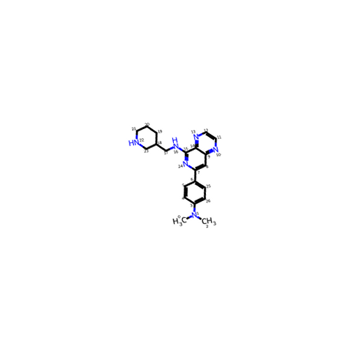 CN(C)c1ccc(-c2cc3nccnc3c(NCC3CCCNC3)n2)cc1